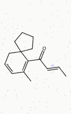 C/C=C/C(=O)C1=C(C)C=CCC12CCCC2